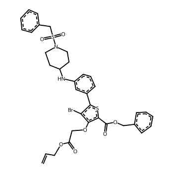 C=CCOC(=O)COc1c(C(=O)OCc2ccccc2)sc(-c2cccc(NC3CCN(S(=O)(=O)Cc4ccccc4)CC3)c2)c1Br